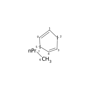 C1=C[I]C=C[I]1.CCCC